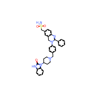 NS(=O)(=O)Cc1ccc2c(c1)CN(c1ccc(CN3CCC(n4c(=O)[nH]c5ccccc54)CC3)cc1)C(c1ccccc1)=N2